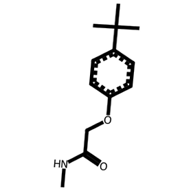 CNC(=O)COc1ccc(C(C)(C)C)cc1